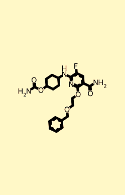 NC(=O)OC1CCC(Nc2nc(OCCOCc3ccccc3)c(C(N)=O)cc2F)CC1